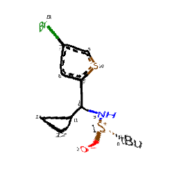 CC(C)(C)[S@+]([O-])NC(c1cc(Br)cs1)C1CC1